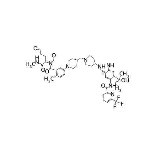 CNC(=O)C(CCC=O)N(C=O)C(=O)c1cc(N2CCC(CN3CCC(N/C=C4/C=C(NC(=O)c5cccc(C(F)(F)F)n5)C(C(C)(C)O)=CC4=N)CC3)CC2)ccc1C